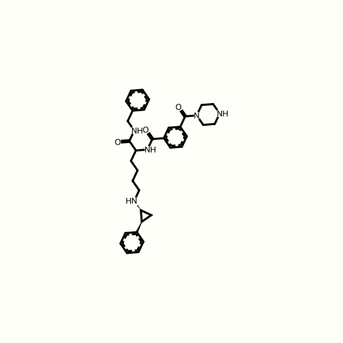 O=C(NC(CCCCN[C@@H]1C[C@H]1c1ccccc1)C(=O)NCc1ccccc1)c1cccc(C(=O)N2CCNCC2)c1